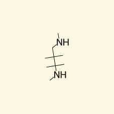 CNCC(C)(C)C(C)(C)NC